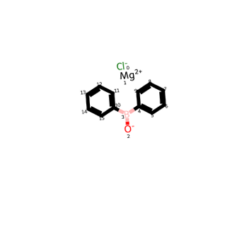 [Cl-].[Mg+2].[O-]B(c1ccccc1)c1ccccc1